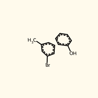 Cc1cccc(Br)c1.Oc1ccccc1